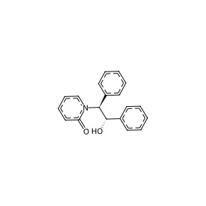 O=c1ccccn1[C@@H](c1ccccc1)[C@@H](O)c1ccccc1